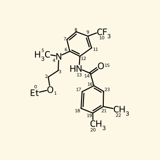 CCOCCN(C)c1ccc(C(F)(F)F)cc1NC(=O)c1ccc(C)c(C)c1